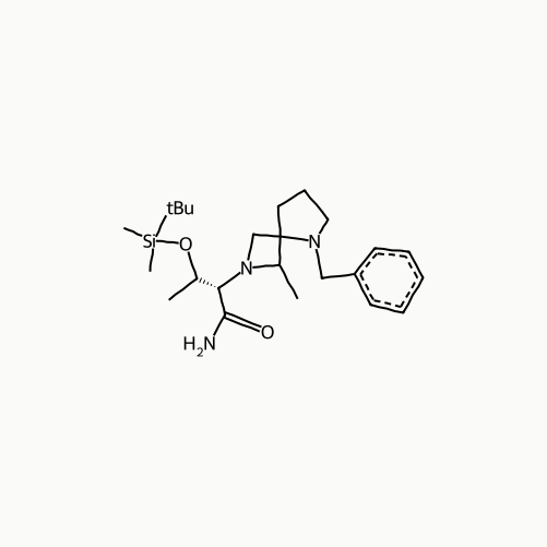 CC(O[Si](C)(C)C(C)(C)C)[C@@H](C(N)=O)N1CC2(CCCN2Cc2ccccc2)C1C